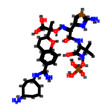 CC(ON=C(C(=O)NC1C(=O)N(OS(=O)(=O)O)C1(C)C)c1csc(N)n1)(C(=O)O)C1CCc2cc(C(=N)N[C@@H]3CCC[C@@H](N)CC3)ccc2O1